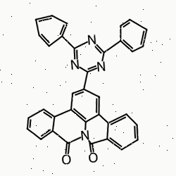 O=c1c2ccccc2c2cc(-c3nc(-c4ccccc4)nc(-c4ccccc4)n3)cc3c4ccccc4c(=O)n1c23